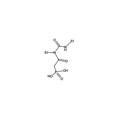 CCNC(=O)N(CC)C(=O)CP(=O)(O)O